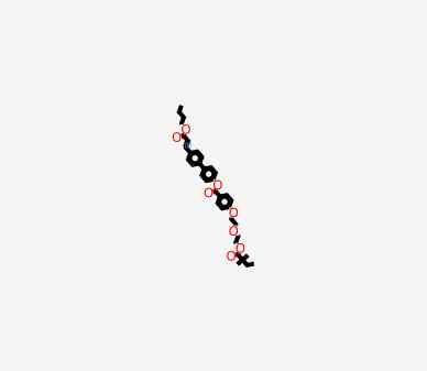 CCCCOC(=O)/C=C/c1ccc(-c2ccc(OC(=O)c3ccc(OCCOCCOC(=O)C(C)(C)CC)cc3)cc2)cc1